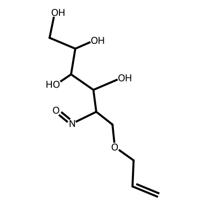 C=CCOCC(N=O)C(O)C(O)C(O)CO